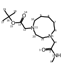 CNC(=O)CN1CCCCCN(CC(=O)OC(C)(C)C)CC1